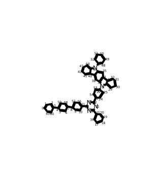 c1ccc(-c2ccc(-c3ccc(-c4nc(-c5ccccc5)nc(-c5ccc(-n6c7ccccc7c7cc8c(cc76)c6ccccc6n8-c6ccccc6)cc5)n4)cc3)cc2)cc1